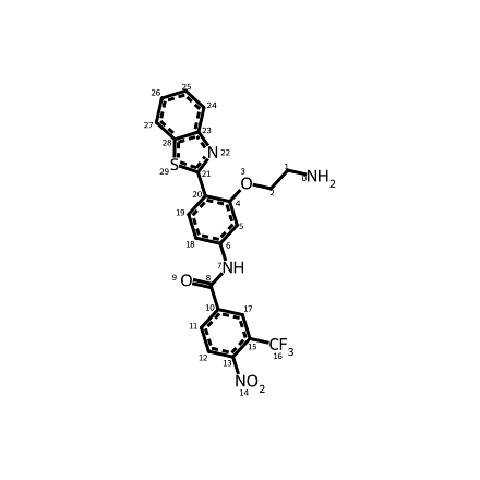 NCCOc1cc(NC(=O)c2ccc([N+](=O)[O-])c(C(F)(F)F)c2)ccc1-c1nc2ccccc2s1